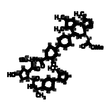 COC(=O)C[C@@H]1N=C(c2ccc(-c3ccc(C(=O)N[C@H](C(=O)N4C[C@H](O)C[C@H]4C(=O)N[C@@H](C)c4ccc(-c5scnc5C)cc4)C(C)(C)C)c(Cl)c3)cc2)c2c(sc(C)c2C)-n2c(C)nnc21